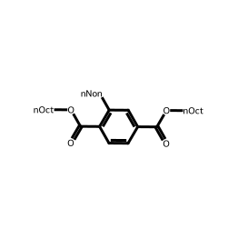 CCCCCCCCCc1cc(C(=O)OCCCCCCCC)ccc1C(=O)OCCCCCCCC